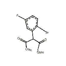 COC(=O)C(C(=O)OC)c1cc(F)ccc1Br